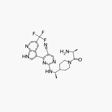 C[C@H](N)C(=O)N1CCC([C@@H](C)Nc2ncc(C#N)c(-c3c[nH]c4ncc(C(F)(F)F)cc34)n2)CC1